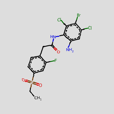 CCS(=O)(=O)c1ccc(CC(=O)Nc2c(N)cc(Cl)c(Br)c2Cl)c(F)c1